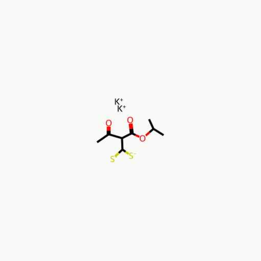 CC(=O)C(C(=O)OC(C)C)C([S-])[S-].[K+].[K+]